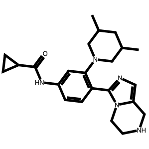 CC1CC(C)CN(c2cc(NC(=O)C3CC3)ccc2-c2ncc3n2CCNC3)C1